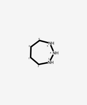 [CH]1CCNNNC1